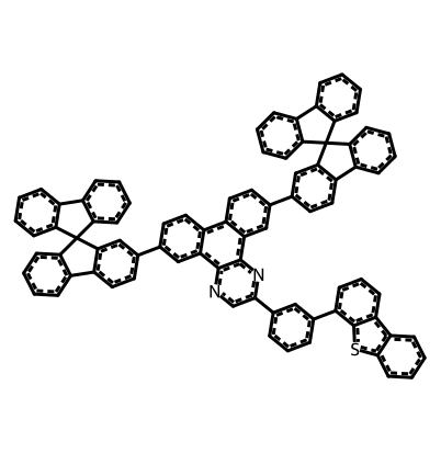 c1cc(-c2cnc3c4cc(-c5ccc6c(c5)C5(c7ccccc7-c7ccccc75)c5ccccc5-6)ccc4c4ccc(-c5ccc6c(c5)C5(c7ccccc7-c7ccccc75)c5ccccc5-6)cc4c3n2)cc(-c2cccc3c2sc2ccccc23)c1